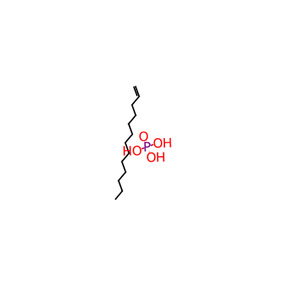 C=CCCCCCCCCCCC.O=P(O)(O)O